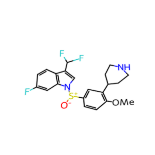 COc1ccc([S+]([O-])n2cc(C(F)F)c3ccc(F)cc32)cc1C1CCNCC1